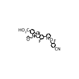 N#Cc1ccc(COc2cccc(-c3cc(F)c(Cn4c(=O)c5ccc(C(=O)O)cc5n4CC4CCO4)c(F)c3)n2)c(F)c1